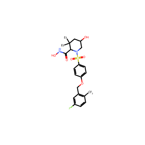 CCC1(CC)CC(O)CN(S(=O)(=O)c2ccc(OCc3cc(F)ccc3C(F)(F)F)cc2)C1C(=O)NO